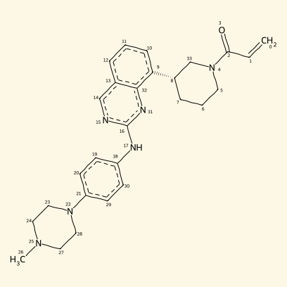 C=CC(=O)N1CCC[C@H](c2cccc3cnc(Nc4ccc(N5CCN(C)CC5)cc4)nc23)C1